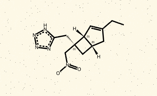 CCC1=C[C@@H]2[C@H](C1)C[C@@]2(Cc1nnn[nH]1)C[N+](=O)[O-]